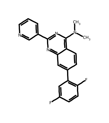 CN(C)c1nc(-c2cccnc2)nc2cc(-c3cc(F)ccc3F)ccc12